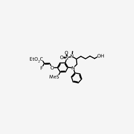 CCOC(=O)/C(F)=C/Oc1cc2c(cc1SC)N(c1ccccc1)CC(CCCCO)N(C)S2(=O)=O